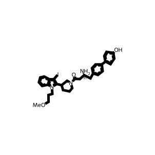 COCCCn1c(C2CCCN(C(=O)C[C@H](N)Cc3ccc(-c4ccc(O)cc4)cc3)C2)c(I)c2ccccc21